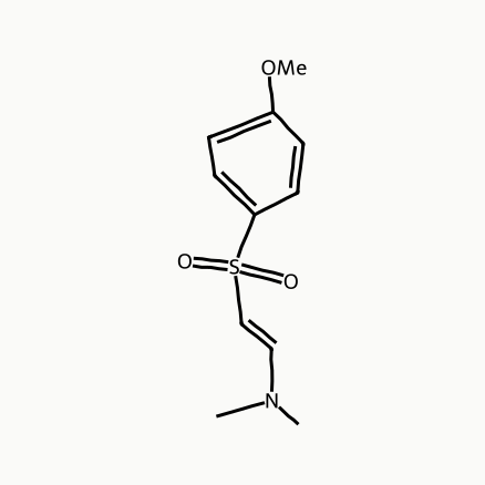 COc1ccc(S(=O)(=O)C=CN(C)C)cc1